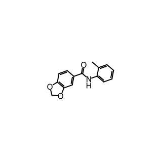 Cc1ccccc1NC(=O)c1ccc2c(c1)OCO2